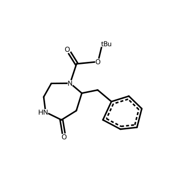 CC(C)(C)OC(=O)N1CCNC(=O)CC1Cc1ccccc1